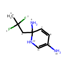 CC(F)(F)CC1(N)C=CC(N)=CN1